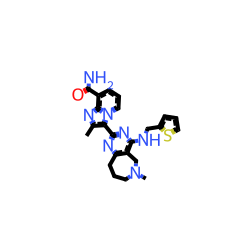 Cc1nc2c(C(N)=O)cccn2c1-c1nc2c(c(NCc3cccs3)n1)CN(C)CCC2